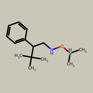 C[SiH](C)ONCC(c1ccccc1)C(C)(C)C